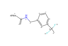 C=C(CCCCCC)NCc1cccc(C(C)(F)F)c1